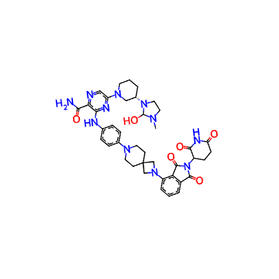 CN1CCN([C@H]2CCCN(c3cnc(C(N)=O)c(Nc4ccc(N5CCC6(CC5)CN(c5cccc7c5C(=O)N(C5CCC(=O)NC5=O)C7=O)C6)cc4)n3)C2)C1O